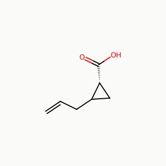 C=CCC1C[C@H]1C(=O)O